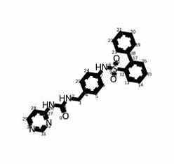 O=C(NCc1ccc(NS(=O)(=O)c2ccccc2-c2ccccc2)cc1)Nc1ccncn1